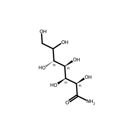 NC(=O)[C@H](O)[C@@H](O)[C@H](O)[C@H](O)C(O)CO